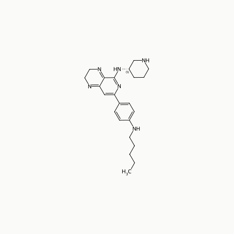 CCCCCNc1ccc(-c2cc3c(c(N[C@H]4CCCNC4)n2)=NCCN=3)cc1